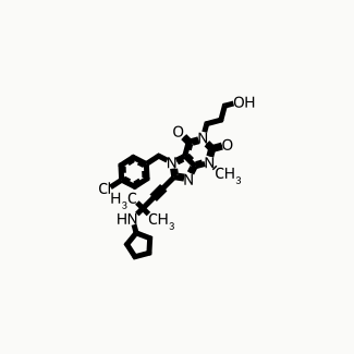 Cn1c(=O)n(CCCO)c(=O)c2c1nc(C#CC(C)(C)NC1CCCC1)n2Cc1ccc(Cl)cc1